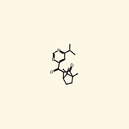 CC(C)c1cc(C(=O)C2C(=O)C3(C)CCC2C3(C)C)ncn1